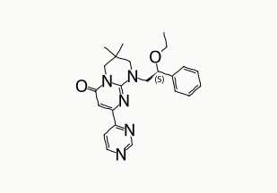 CCO[C@H](CN1CC(C)(C)Cn2c1nc(-c1ccncn1)cc2=O)c1ccccc1